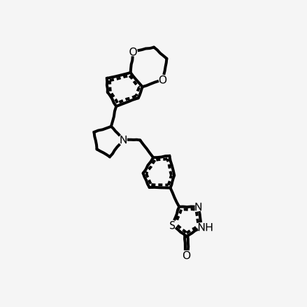 O=c1[nH]nc(-c2ccc(CN3CCCC3c3ccc4c(c3)OCCO4)cc2)s1